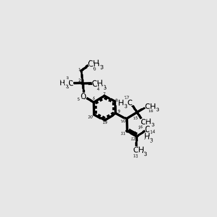 CCC(C)(C)Oc1ccc(C(C=C(C)C)C(C)(C)C)cc1